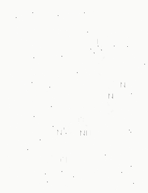 O=C(Cc1ccc(-n2cnc3cc(-c4cn[nH]c4)ccc32)cc1)Nc1cc(-c2ccccc2Cl)no1